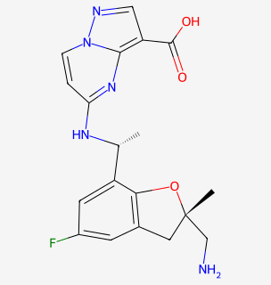 C[C@@H](Nc1ccn2ncc(C(=O)O)c2n1)c1cc(F)cc2c1O[C@](C)(CN)C2